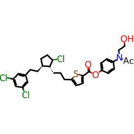 CC(=O)N(CCO)c1ccc(OC(=O)c2ccc(CCC[C@@H]3[C@@H](CCc4cc(Cl)cc(Cl)c4)CC[C@H]3Cl)s2)cc1